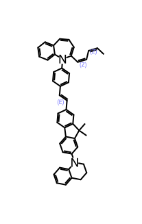 C/C=C\C=C/C1=CC=Cc2ccccc2N1c1ccc(/C=C/c2ccc3c(c2)C(C)(C)c2cc(N4CCCc5ccccc54)ccc2-3)cc1